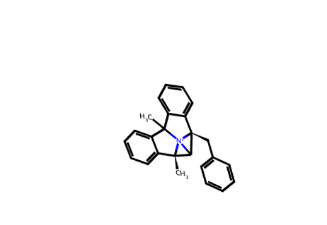 CC12c3ccccc3[C@@]3(C)C4[C@@](Cc5ccccc5)(c5ccccc51)[N+]423